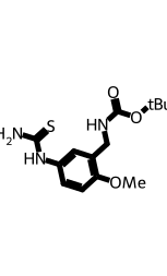 COc1ccc(NC(N)=S)cc1CNC(=O)OC(C)(C)C